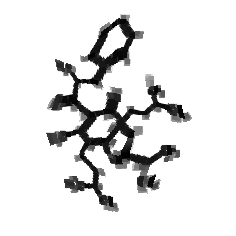 CC1=C(C(=O)C(C)Cc2ccccc2)C(=O)C(CCC(C)C)(CCC(C)C)C(O)=C1CCC(C)C